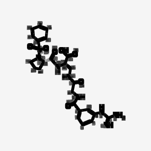 N=C(N)Nc1cccc(C(=O)NCC(=O)NC[C@@H](NC(=O)[C@@H]2CCCN2S(=O)(=O)c2ccccc2)C(=O)O)c1